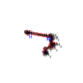 COc1cc2c(cc1OCCCCCOc1cc3c(cc1OC)C(=O)N1C=C(C)C[C@H]1[C@H](O)N3C(=O)OCc1ccc(NC(=O)[C@H](C)NC(=O)[C@@H](NC(=O)CCOCCOCCOCCOCCOCCOCCOCCOCCNC(=O)CCN3C(=O)CC(SC)C3=O)C(C)C)cc1)N=C[C@@H]1CC(C)=CN1C2=O